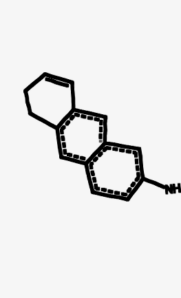 Nc1ccc2cc3c(cc2c1)C=CCC3